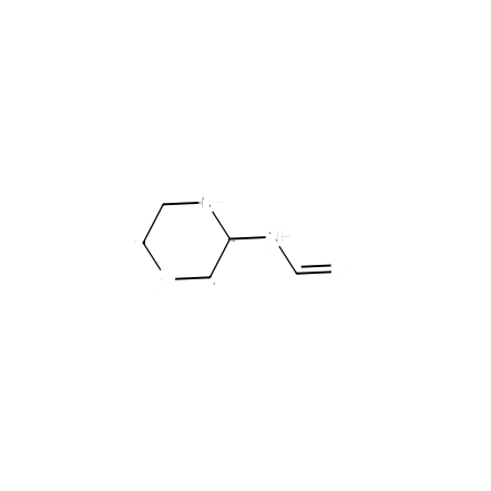 O=CNC1COCCN1